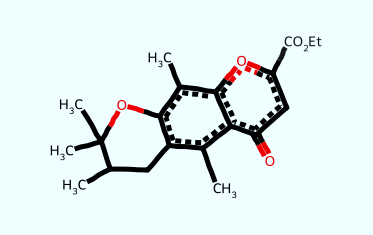 CCOC(=O)c1cc(=O)c2c(C)c3c(c(C)c2o1)OC(C)(C)C(C)C3